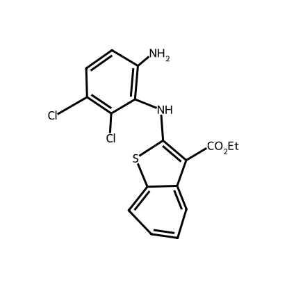 CCOC(=O)c1c(Nc2c(N)ccc(Cl)c2Cl)sc2ccccc12